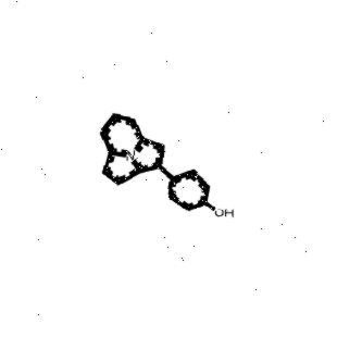 Oc1ccc(-c2cc3cccc4ccc2n43)cc1